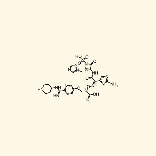 N=C(NC1CCNCC1)c1ccc(OC[C@H](O/N=C(\C(=O)NC2C(=O)N(S(=O)(=O)O)[C@H]2Cn2cncn2)c2csc(N)n2)C(=O)O)cn1